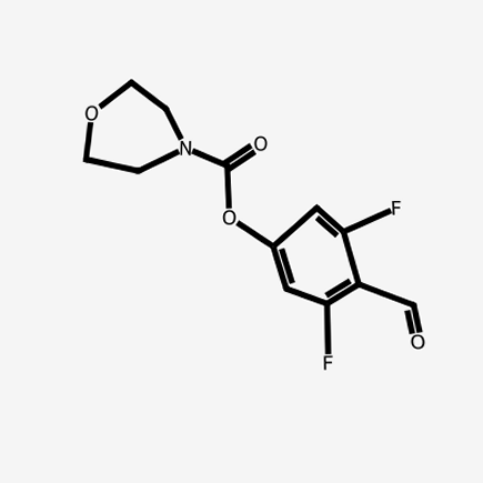 O=Cc1c(F)cc(OC(=O)N2CCOCC2)cc1F